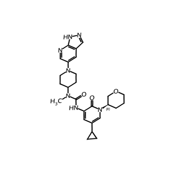 CN(C(=O)Nc1cc(C2CC2)cn([C@@H]2CCCOC2)c1=O)C1CCN(c2cnc3[nH]ncc3c2)CC1